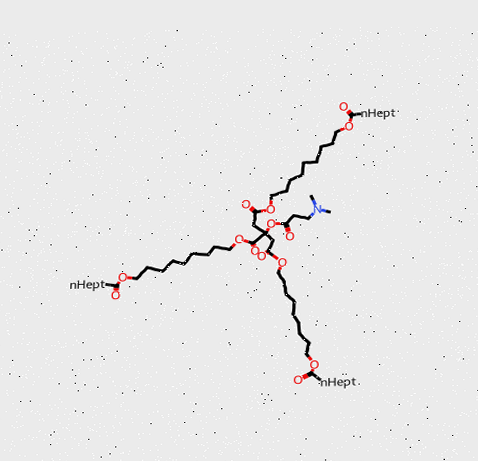 CCCCCCCC(=O)OCCCCCCCCCOC(=O)CC(CC(=O)OCCCCCCCCCOC(=O)CCCCCCC)(OC(=O)CCN(C)C)C(=O)OCCCCCCCCCOC(=O)CCCCCCC